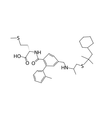 CSCC[C@H](NC(=O)c1ccc(CNC(C)CSC(C)(C)CC2CCCCC2)cc1-c1ccccc1C)C(=O)O